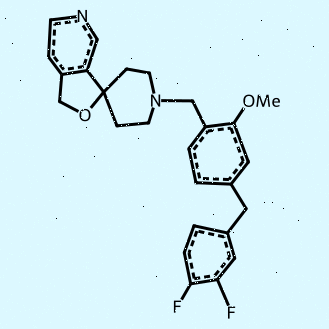 COc1cc(Cc2ccc(F)c(F)c2)ccc1CN1CCC2(CC1)OCc1ccncc12